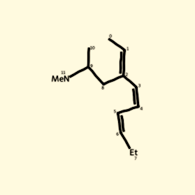 C/C=C(/C=C\C=C/CC)CC(C)NC